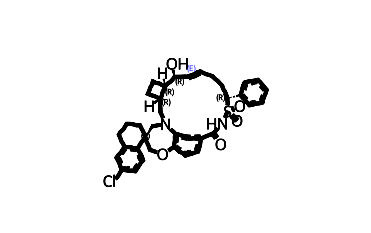 O=C1NS(=O)(=O)[C@@H](c2ccccc2)CC/C=C/[C@H](O)[C@@H]2CC[C@H]2CN2C[C@@]3(CCCc4cc(Cl)ccc43)COc3ccc1cc32